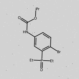 CCP(=O)(CC)c1cc(NC(=O)OC(C)C)ccc1Br